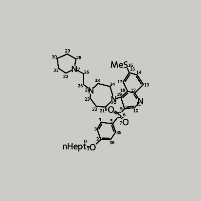 CCCCCCCOc1ccc(S(=O)(=O)c2cnc3ccc(SC)cc3c2N2CCCN(CCN3CCCCC3)CC2)cc1